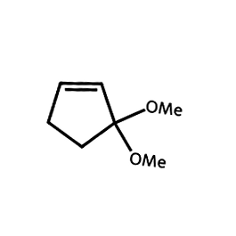 COC1(OC)C=CCC1